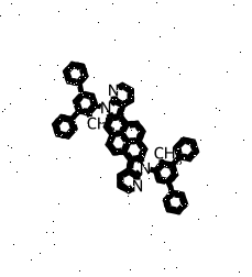 Cc1c(-c2ccccc2)cc(-c2ccccc2)cc1-n1c2cc3ccc4c5c(ccc(c35)c2c2cccnc21)cc1c4c2cccnc2n1-c1cc(-c2ccccc2)cc(-c2ccccc2)c1C